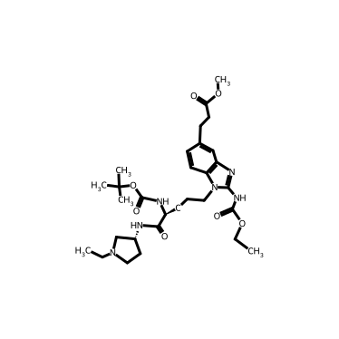 CCOC(=O)Nc1nc2cc(CCC(=O)OC)ccc2n1CCC[C@H](NC(=O)OC(C)(C)C)C(=O)N[C@@H]1CCN(CC)C1